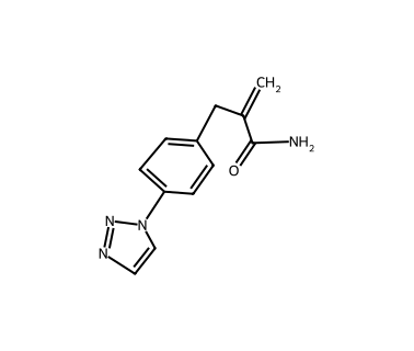 C=C(Cc1ccc(-n2ccnn2)cc1)C(N)=O